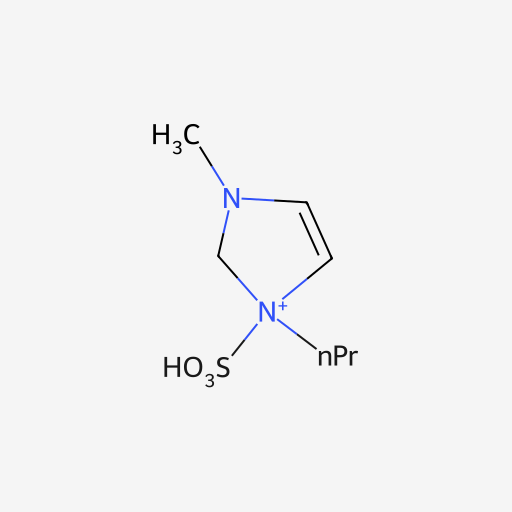 CCC[N+]1(S(=O)(=O)O)C=CN(C)C1